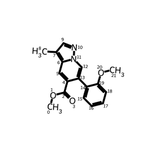 COC(=O)c1cc2c(C)cnn2cc1-c1ccccc1OC